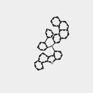 c1ccc(-c2ccccc2N(c2ccc3c(ccc4ccc5ccccc5c43)c2)c2cccc3oc4c5ccccc5ccc4c23)cc1